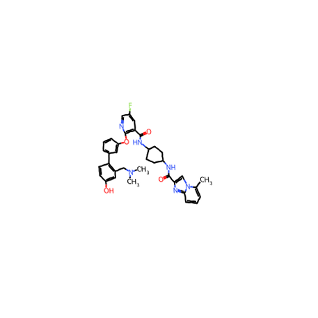 Cc1cccc2nc(C(=O)NC3CCC(NC(=O)c4cc(F)cnc4Oc4cccc(-c5ccc(O)cc5CN(C)C)c4)CC3)cn12